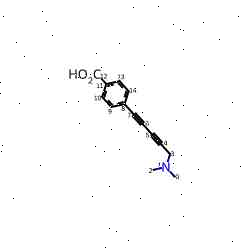 CN(C)CC#CC#Cc1ccc(C(=O)O)cc1